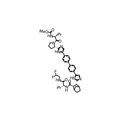 COC(=O)N[C@H](C(=O)N1CCC[C@H]1c1ncc(-c2ccc(-c3ccc(-c4cnc([C@@H]5C6CCC(C6)[C@H]5C(=O)N[C@@H](C(=O)NCC(F)F)C(C)C)[nH]4)cc3)cc2)[nH]1)C(C)C